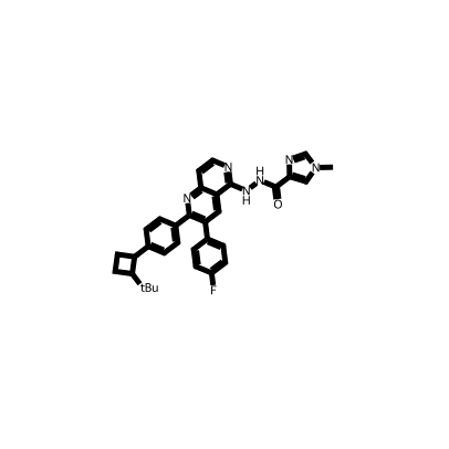 Cn1cnc(C(=O)NNc2nccc3nc(-c4ccc([C]5CCC5C(C)(C)C)cc4)c(-c4ccc(F)cc4)cc23)c1